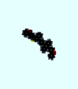 c1ccc2c(c1)oc1ccc(-c3c4ccccc4c(-c4ccc(-c5cc6sc7cc8c(cc7c6c6ccccc56)oc5ccccc58)cc4)c4ccccc34)cc12